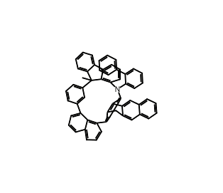 CC12c3cccc(c3)-c3cccc4cccc(c34)-c3ccc(c4c3Cc3cc5ccccc5cc3-4)N(c3ccccc3-c3ccccc3)c3cccc(c31)-c1ccccc12